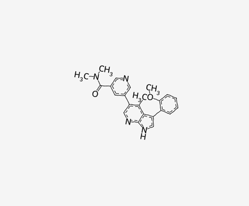 COc1ccccc1-c1c[nH]c2ncc(-c3cncc(C(=O)N(C)C)c3)c(C)c12